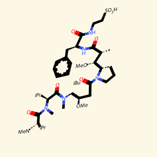 CC[C@H](C)[C@@H]([C@@H](CC(=O)N1CCC[C@H]1[C@H](OC)[C@@H](C)C(=O)N[C@@H](Cc1ccccc1)C(=O)NCCS(=O)(=O)O)OC)N(C)C(=O)[C@H](C(C)C)N(C)C(=O)[C@@H](NC)C(C)C